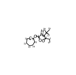 CCC(=O)[C@@H](NC(=O)OC1CCCCCC1)C(C)(C)C